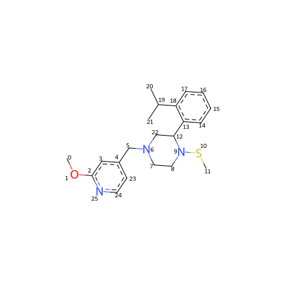 COc1cc(CN2CCN(SC)C(c3ccccc3C(C)C)C2)ccn1